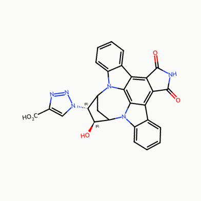 O=C(O)c1cn([C@@H]2C3CC([C@H]2O)n2c4ccccc4c4c5c(c6c7ccccc7n3c6c42)C(=O)NC5=O)nn1